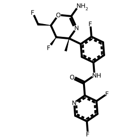 C[C@]1(c2cc(NC(=O)c3ncc(F)cc3F)ccc2F)N=C(N)O[C@H](CF)[C@@H]1F